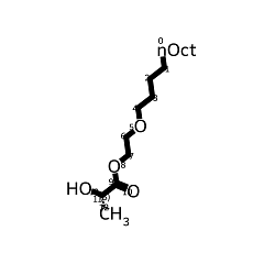 CCCCCCCCCCCCOCCOC(=O)[C@H](C)O